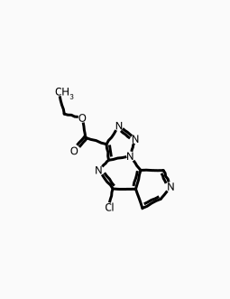 CCOC(=O)c1nnn2c1nc(Cl)c1ccncc12